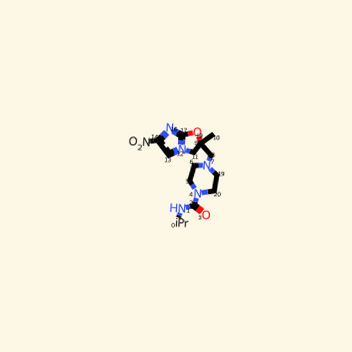 CC(C)NC(=O)N1CCN(CC2(C)Cn3cc([N+](=O)[O-])nc3O2)CC1